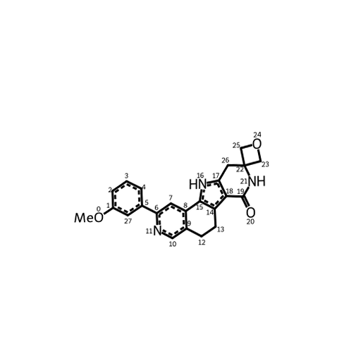 COc1cccc(-c2cc3c(cn2)CCc2c-3[nH]c3c2C(=O)NC2(COC2)C3)c1